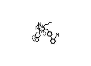 CCCCc1c(Cc2ccc(-c3ccccc3C#N)cc2)c(=O)n(C2CCC3(CC2)OCCO3)c2ncnn12